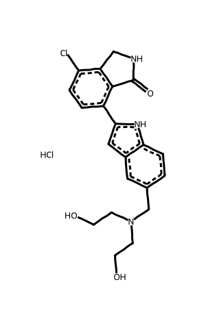 Cl.O=C1NCc2c(Cl)ccc(-c3cc4cc(CN(CCO)CCO)ccc4[nH]3)c21